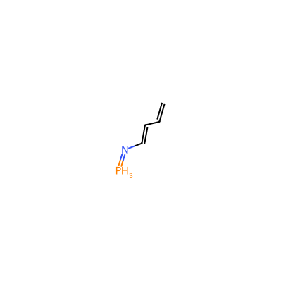 C=CC=CN=[PH3]